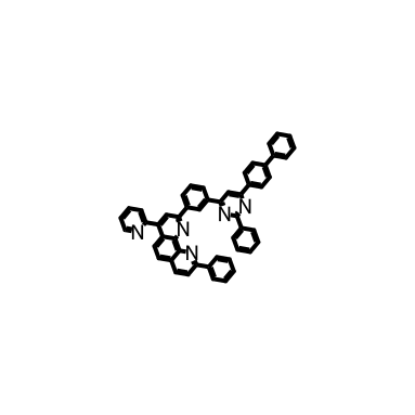 c1ccc(-c2ccc(-c3cc(-c4cccc(-c5cc(-c6ccccn6)c6ccc7ccc(-c8ccccc8)nc7c6n5)c4)nc(-c4ccccc4)n3)cc2)cc1